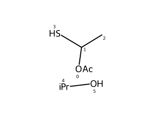 CC(=O)OC(C)S.CC(C)O